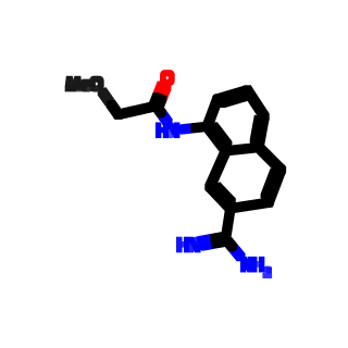 COCC(=O)Nc1cccc2ccc(C(=N)N)cc12